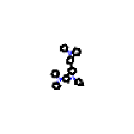 c1ccc(N(c2ccccc2)c2ccc3c(c2)c2cc(-c4ccc5c(c4)c4ccccc4n5-c4ccccc4)ccc2n3-c2ccccc2)cc1